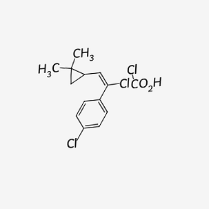 CC1(C)CC1/C=C(/Cl)c1ccc(Cl)cc1.O=C(O)Cl